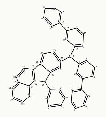 c1ccc(-c2cccc(N(c3cccc(-c4ccccc4)c3)c3ccc4c5ccc6ccccc6c5n(-c5ccccc5)c4c3)c2)cc1